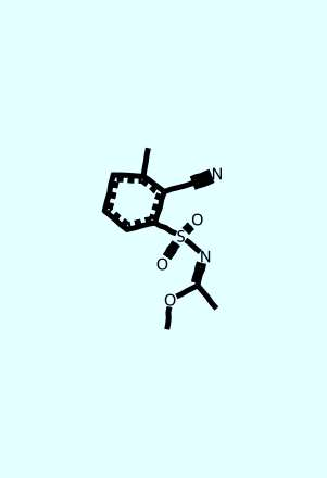 CO/C(C)=N\S(=O)(=O)c1cccc(C)c1C#N